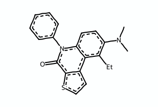 CCc1c(N(C)C)ccc2c1c1ccsc1c(=O)n2-c1ccccc1